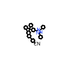 N#Cc1ccc(-c2ccc3cc4c(cc3c2)C(c2ccccc2)(c2ccc(-c3nc(-c5ccccc5)nc(-c5ccccc5)n3)cc2)c2ccccc2-4)cc1